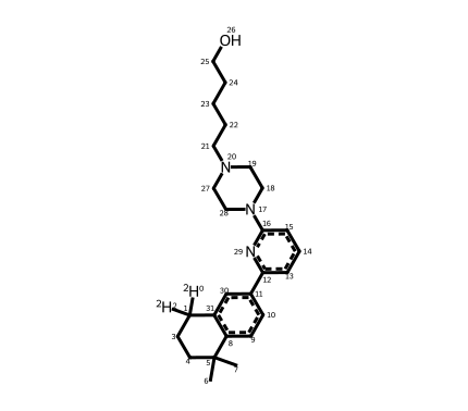 [2H]C1([2H])CCC(C)(C)c2ccc(-c3cccc(N4CCN(CCCCCO)CC4)n3)cc21